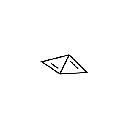 C1=C2C=C12